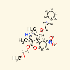 COCCOC(=O)C1=C(C)NC(C)=C(COC/C=C/c2ccccc2)C1c1cccc([N+](=O)[O-])c1